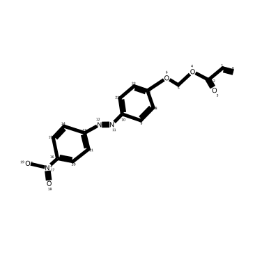 C=CC(=O)OCOc1ccc(/N=N/c2ccc([N+](=O)[O-])cc2)cc1